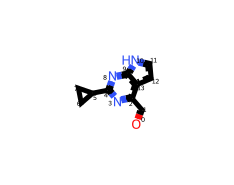 O=Cc1nc(C2CC2)nc2[nH]ccc12